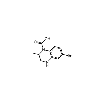 CC1CNc2cc(Br)ccc2N1C(=O)O